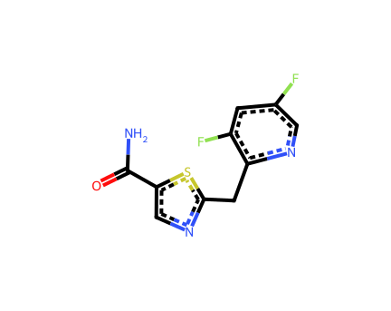 NC(=O)c1cnc(Cc2ncc(F)cc2F)s1